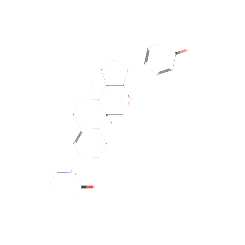 CCN(C(=O)O)[C@@H]1C=C2CC[C@@H]3[C@H](CC[C@]4(C)[C@@H](c5ccc(=O)oc5)CC[C@]34O)[C@@]2(C)CC1